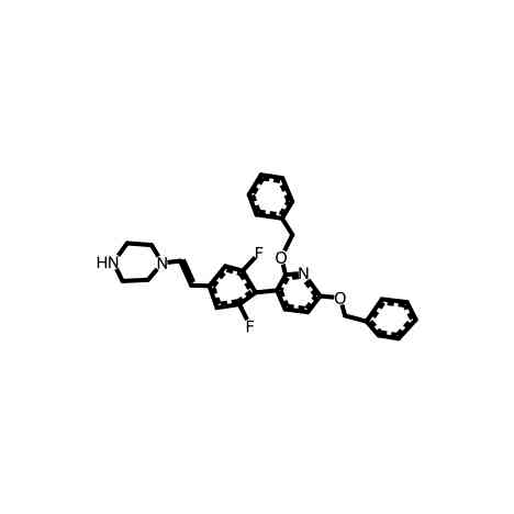 Fc1cc(C=CN2CCNCC2)cc(F)c1-c1ccc(OCc2ccccc2)nc1OCc1ccccc1